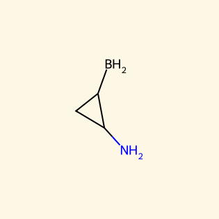 BC1CC1N